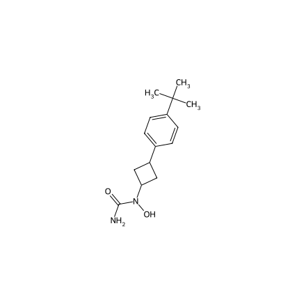 CC(C)(C)c1ccc(C2CC(N(O)C(N)=O)C2)cc1